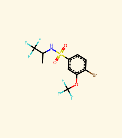 CC(NS(=O)(=O)c1ccc(Br)c(OC(F)(F)F)c1)C(F)(F)F